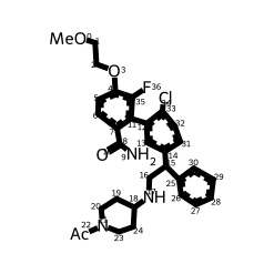 COCCOc1ccc(C(N)=O)c(-c2cc(C(CNC3CCN(C(C)=O)CC3)c3ccccc3)ccc2Cl)c1F